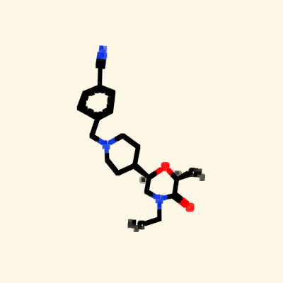 CCN1C[C@@H](C2CCN(Cc3ccc(C#N)cc3)CC2)O[C@@H](C)C1=O